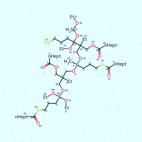 CCCCCCCC(=O)OCC(CC)(CO[Si](C)(CCCSC(=O)CCCCCCC)OCC(CC)(COC(=O)CCCCCCC)C(CCCS)(OCC)O[SiH2]OCC)CO[Si](CCCSC(=O)CCCCCCC)(OCC)OCC